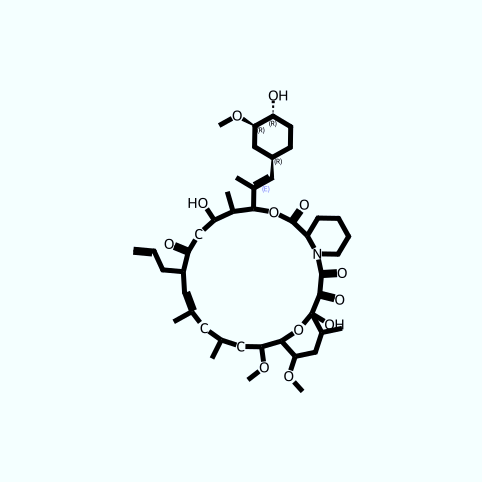 C=CCC1C=C(C)CC(C)CC(OC)C2OC(O)(C(=O)C(=O)N3CCCCC3C(=O)OC(/C(C)=C/[C@@H]3CC[C@@H](O)[C@H](OC)C3)C(C)C(O)CC1=O)C(C)CC2OC